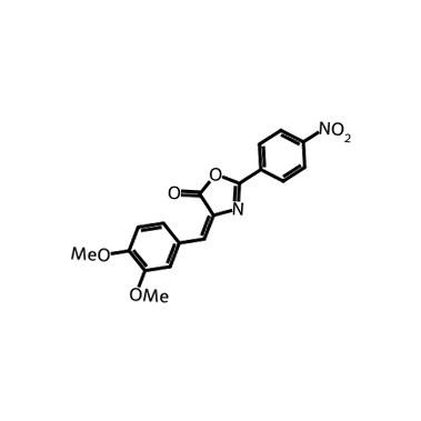 COc1ccc(/C=C2/N=C(c3ccc([N+](=O)[O-])cc3)OC2=O)cc1OC